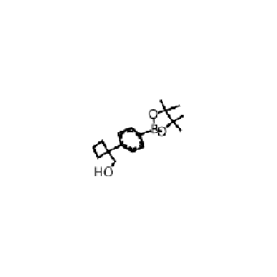 CC1(C)OB(c2ccc(C3(CO)CCC3)cc2)OC1(C)C